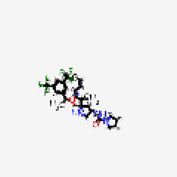 C=C(/C=C\C=C/C)[C@]1(CO[C@H](C)c2cc(C(F)(F)F)cc(C(F)(F)F)c2)C[C@H](NC(=O)N2CCCC2)CN1